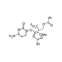 CO[C@](C)(COC(=O)C(C)C)[C@@H](OC(=O)C(C)C)[C@@H](F)n1ccc(N)nc1=O